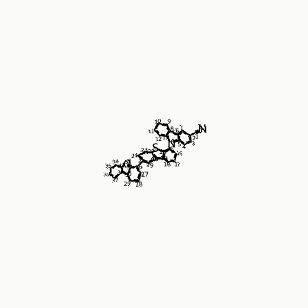 N#Cc1ccc2c(c1)c1ccccc1n2-c1cccc2c1sc1ccc(-c3cccc4c3oc3ccccc34)cc12